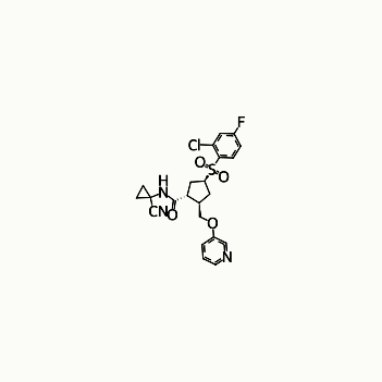 N#CC1(NC(=O)[C@@H]2C[C@@H](S(=O)(=O)c3ccc(F)cc3Cl)C[C@H]2COc2cccnc2)CC1